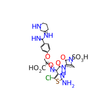 C[C@H]1[C@H](NC(=O)/C(=N\O[C@@H](COc2ccc(C(=N)N[C@H]3CCCNC3)cc2)C(=O)O)c2nc(N)sc2Cl)C(=O)N1S(=O)(=O)O